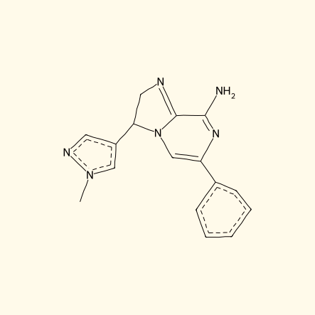 Cn1cc(C2CN=C3C(N)=NC(c4ccccc4)=CN32)cn1